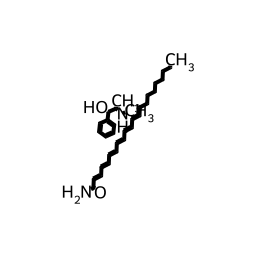 CCCCCCCCCC=CC=CC=CC=CC=CC=CC(N)=O.CNC(C)C(O)c1ccccc1